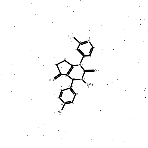 CSN1C(=O)N(c2ccnc(C(F)(F)F)c2)C2=C(C(=O)CC2)C1c1ccc(C#N)cc1